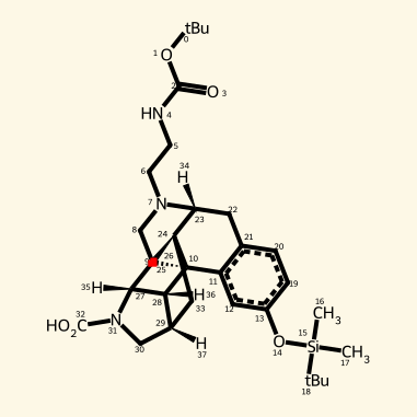 CC(C)(C)OC(=O)NCCN1CC[C@@]23c4cc(O[Si](C)(C)C(C)(C)C)ccc4C[C@@H]1[C@]21CC[C@@H]2[C@H]3[C@@H](CN2C(=O)O)C1